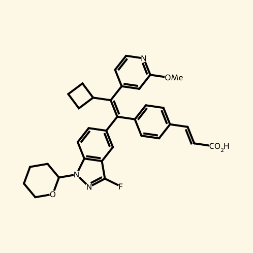 COc1cc(/C(=C(\c2ccc(C=CC(=O)O)cc2)c2ccc3c(c2)c(F)nn3C2CCCCO2)C2CCC2)ccn1